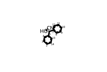 N#CO.c1ccc(Cc2ccccc2)cc1